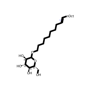 CCCCCCCC/C=C/CCCCCCCCOC1O[C@H](CO)[C@@H](O)[C@H](O)[C@H]1O